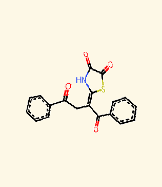 O=C1NC(=C(CC(=O)c2ccccc2)C(=O)c2ccccc2)SC1=O